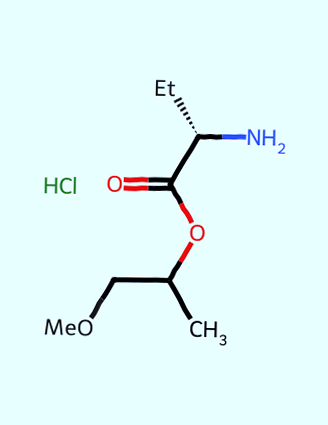 CC[C@H](N)C(=O)OC(C)COC.Cl